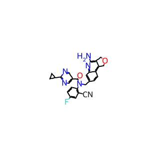 N#Cc1cc(F)ccc1N(Cc1ccc2c3c(c(N)nc2c1)COC3)C(=O)c1cnc(C2CC2)nc1